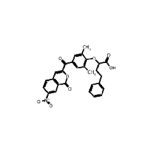 Cc1cc(C(=O)c2cc3ccc([N+](=O)[O-])cc3c(=O)o2)cc(C)c1OC(CCc1ccccc1)C(=O)O